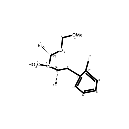 CC[C@H](OCOC)N(C(=O)O)[C@@H](C)Cc1ccccc1I